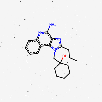 CCCc1nc2c(N)nc3ccccc3c2n1CC1(O)CCCCC1